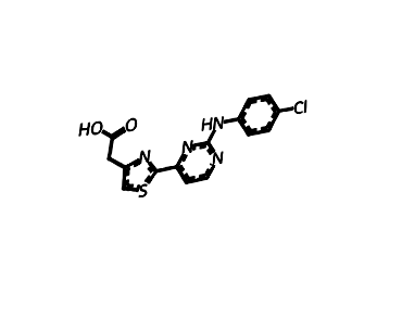 O=C(O)Cc1csc(-c2ccnc(Nc3ccc(Cl)cc3)n2)n1